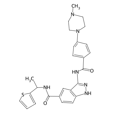 CC(NC(=O)c1ccc2[nH]nc(NC(=O)c3ccc(N4CCN(C)CC4)cc3)c2c1)c1cccs1